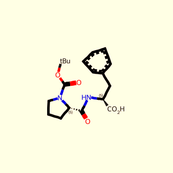 CC(C)(C)OC(=O)N1CCC[C@H]1C(=O)N[C@@H](Cc1ccccc1)C(=O)O